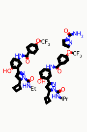 CC(C)NC(=O)n1nc(-c2cc(NC(=O)c3ccc(OC(F)(F)F)cc3)ccc2O)cc1C1CCC1.CCNC(=O)n1nc(-c2cc(NC(=O)c3ccc(OC(F)(F)F)cc3)ccc2O)cc1C1CCC1.NC(=O)n1cccn1